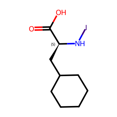 O=C(O)[C@H](CC1CCCCC1)NI